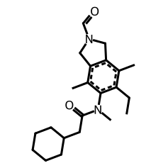 CCc1c(C)c2c(c(C)c1N(C)C(=O)CC1CCCCC1)CN(C=O)C2